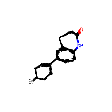 CCC1CC=C(c2ccc3c(c2)CCC(=O)N3)CC1